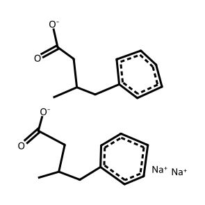 CC(CC(=O)[O-])Cc1ccccc1.CC(CC(=O)[O-])Cc1ccccc1.[Na+].[Na+]